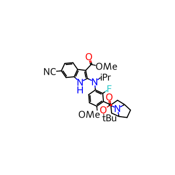 COC(=O)c1c(N(c2ccc(OC)c(C3CC4CCC(C3)N4C(=O)OC(C)(C)C)c2F)C(C)C)[nH]c2cc(C#N)ccc12